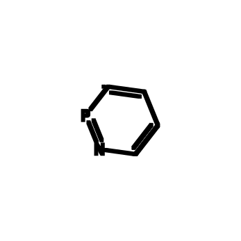 [c]1cccnp1